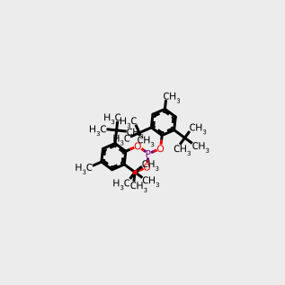 CCOP(Oc1c(C(C)(C)C)cc(C)cc1C(C)(C)C)Oc1c(C(C)(C)C)cc(C)cc1C(C)(C)C